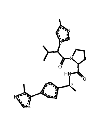 Cc1cn(C(C(=O)N2CCCC2C(=O)N[C@@H](C)c2ccc(-c3scnc3C)cc2)C(C)C)cn1